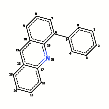 [c]1ccccc1-c1cccc2cc3ccccc3nc12